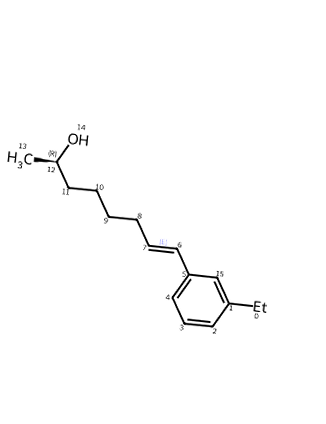 CCc1cccc(/C=C/CCCC[C@@H](C)O)c1